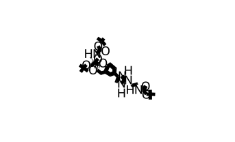 CC(C)(C)OC(=O)NCCNC1=NC(c2ccc3c(c2)CC[C@H]([C@](C)(ONC(=O)OC(C)(C)C)C(=O)OC(C)(C)C)O3)CN1